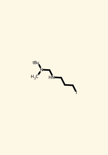 CN(CNCCCI)C(C)(C)C